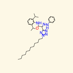 CCCCCCCCCCCCn1nnc(/C(=N\Nc2ccccc2)C(=O)Nc2c(C(C)C)cccc2C(C)C)n1